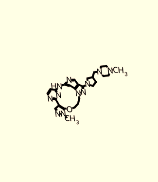 CN1CCN(CC2CCN(c3nn4c5cc(ncc35)Nc3ccnc(n3)-c3cnn(C)c3OCCC4)C2)CC1